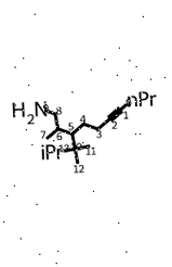 CCCC#CCCC(C(C)CN)C(C)(C)C(C)C